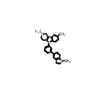 Cc1ccc2c(c1)c1c(n2-c2cccc(-c3ccc4c(ccn4C)c3)c2)CCN(C)C1